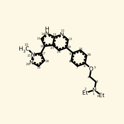 CCN(CC)CCOc1ccc(-c2cnc3[nH]cc(-c4ccnn4C)c3c2)cc1